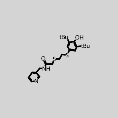 CC(C)(C)c1cc(SCCSCC(=O)NCc2cccnc2)cc(C(C)(C)C)c1O